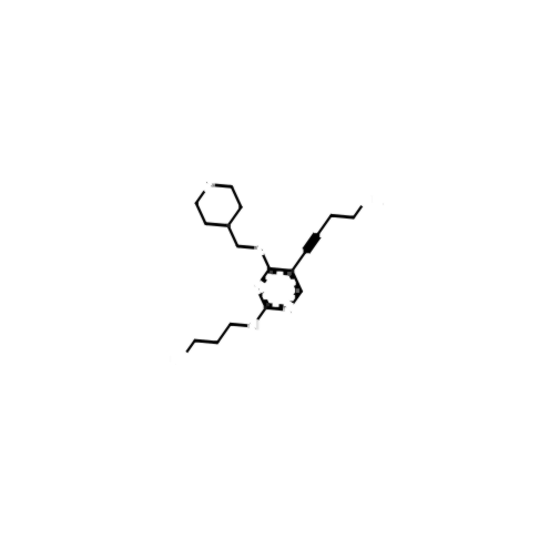 CCCC#Cc1cnc(NCCCC)nc1NCC1CCNCC1